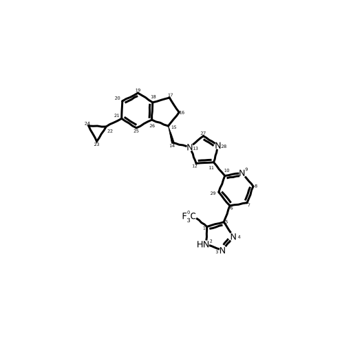 FC(F)(F)c1[nH]nnc1-c1ccnc(-c2cn(C[C@@H]3CCc4ccc(C5CC5)cc43)cn2)c1